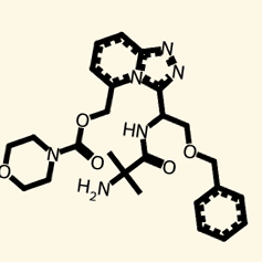 CC(C)(N)C(=O)NC(COCc1ccccc1)c1nnc2cccc(COC(=O)N3CCOCC3)n12